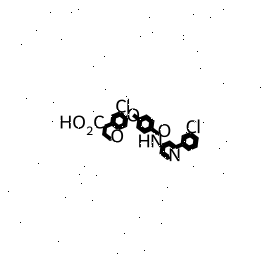 O=C(Nc1ccnc(-c2cccc(Cl)c2)c1)c1ccc(Oc2cc3c(cc2Cl)C(C(=O)O)CCO3)cc1